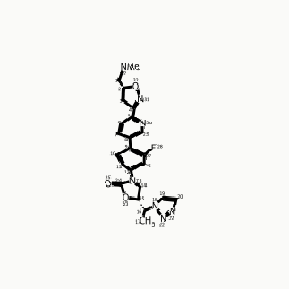 CNC[C@@H]1CC(c2ccc(-c3ccc(N4C[C@H](C(C)n5ccnn5)OC4=O)cc3F)cn2)=NO1